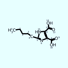 CCCCCc1nc(C(=O)O)c(C(=O)O)[nH]1